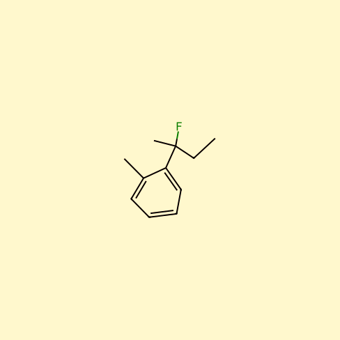 CCC(C)(F)c1ccccc1C